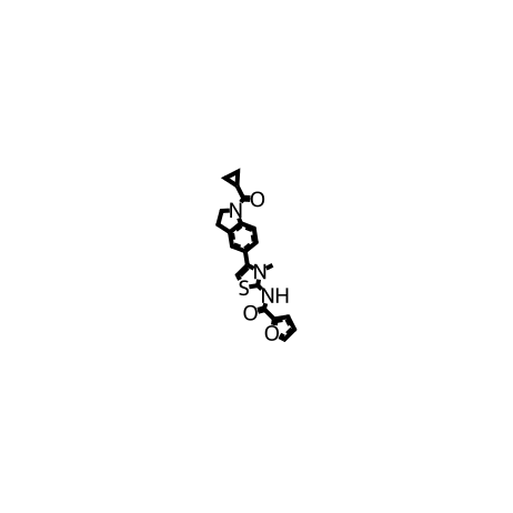 CN1C(c2ccc3c(c2)CCN3C(=O)C2CC2)=CSC1NC(=O)c1ccco1